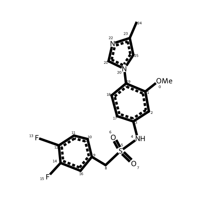 COc1cc(NS(=O)(=O)Cc2ccc(F)c(F)c2)ccc1-n1cnc(C)c1